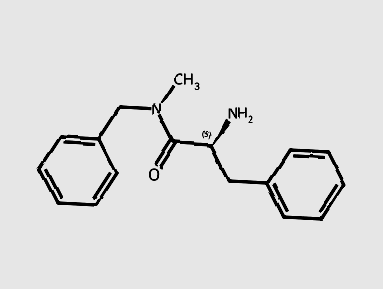 CN(Cc1ccccc1)C(=O)[C@@H](N)Cc1ccccc1